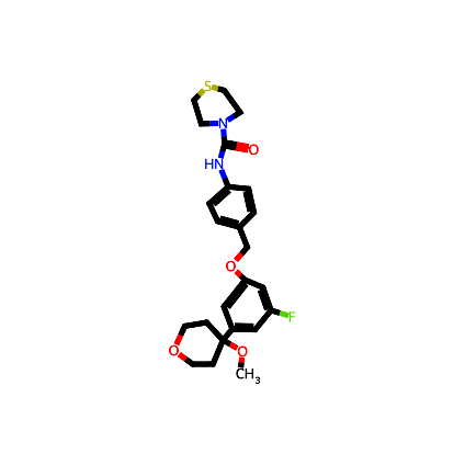 COC1(c2cc(F)cc(OCc3ccc(NC(=O)N4CCSCC4)cc3)c2)CCOCC1